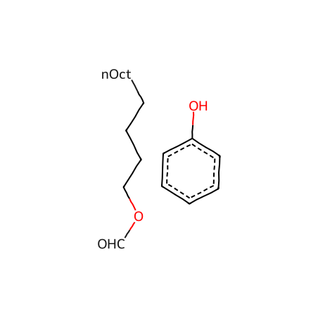 CCCCCCCCCCCCOC=O.Oc1ccccc1